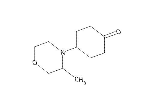 CC1COCCN1C1CCC(=O)CC1